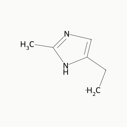 [CH2]Cc1cnc(C)[nH]1